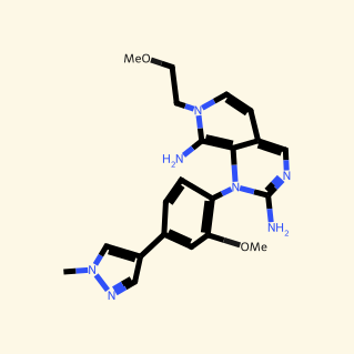 COCCN1C=CC2=CN=C(N)N(c3ccc(-c4cnn(C)c4)cc3OC)C2=C1N